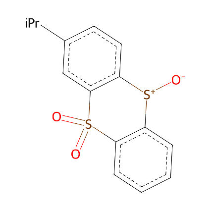 CC(C)c1ccc2c(c1)S(=O)(=O)c1ccccc1[S+]2[O-]